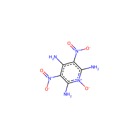 Nc1c([N+](=O)[O-])c(N)[n+]([O-])c(N)c1[N+](=O)[O-]